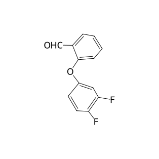 O=Cc1ccccc1Oc1ccc(F)c(F)c1